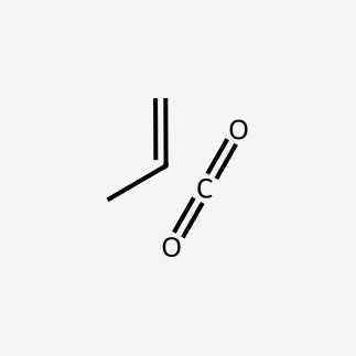 C=CC.O=C=O